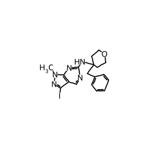 Cn1nc(I)c2cnc(NC3(Cc4ccccc4)CCOCC3)nc21